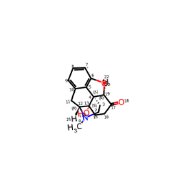 CN1CC[C@@]23c4c5[c]ccc4C[C@@H]1[C@]2(O)CCC(=O)[C@@H]3O5